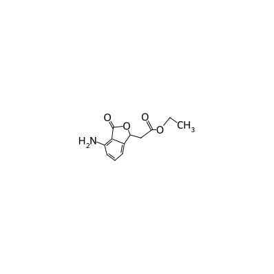 CCOC(=O)CC1OC(=O)c2c(N)cccc21